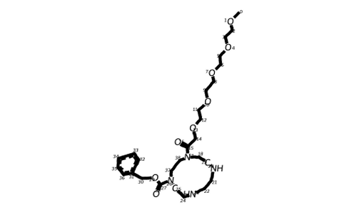 COCCOCCOCCOCCOCC(=O)N1CCNCCNCCN(C(=O)OCc2ccccc2)CC1